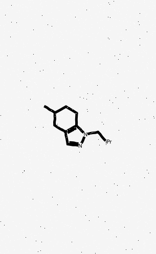 CC(C)Cn1ncc2c1CCC(C)C2